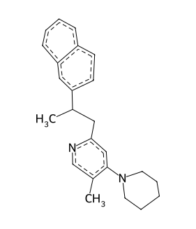 Cc1cnc(CC(C)c2ccc3ccccc3c2)cc1N1CCCCC1